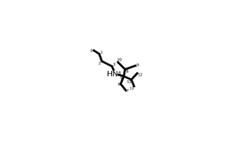 CCCCNC(CC)(C(C)C)C(C)C